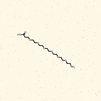 N[CH]COCCOCCOCCOCCOCCOCCC(=O)O